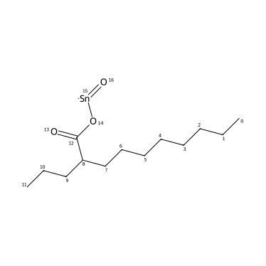 CCCCCCCCC(CCC)C(=O)[O][Sn]=[O]